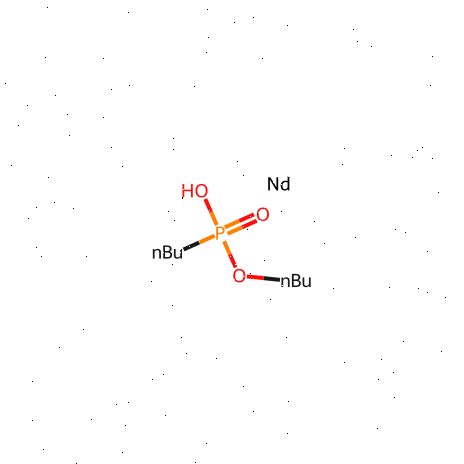 CCCCOP(=O)(O)CCCC.[Nd]